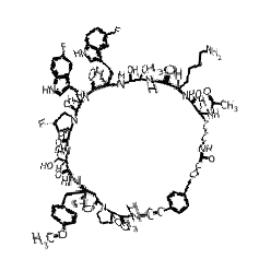 COc1ccc(C[C@@H]2NC(=O)[C@H]([C@@H](C)O)NC(=O)[C@@H]3C[C@H](F)CN3C(=O)[C@H](Cc3c[nH]c4ccc(F)cc34)NC(=O)[C@H](Cc3c[nH]c4ccc(F)cc34)NC(=O)[C@@H](C)NC(=O)[C@H](CCCCN)NC(=O)[C@@H](NC(C)=O)CCNC(=O)COc3ccc(cc3)CCNC(=O)[C@]3(C)CCCN3C2=O)cc1